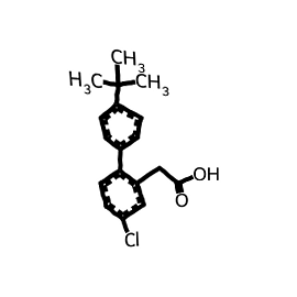 CC(C)(C)c1ccc(-c2ccc(Cl)cc2CC(=O)O)cc1